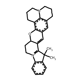 CC1(C)C2=[N+](CCC3Oc4c(cc5c6c4CCCN6CCC5)C=C23)c2ccccc21